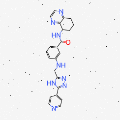 O=C(NC1CCCc2nccnc21)c1cccc(NCc2nnc(-c3ccncc3)[nH]2)c1